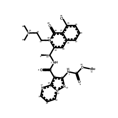 C[C@H](NC(=O)c1c(NC(=O)OC(C)(C)C)nn2cccnc12)c1cc2cccc(Cl)c2c(=O)n1CCN(C)C